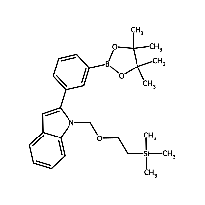 CC1(C)OB(c2cccc(-c3cc4ccccc4n3COCC[Si](C)(C)C)c2)OC1(C)C